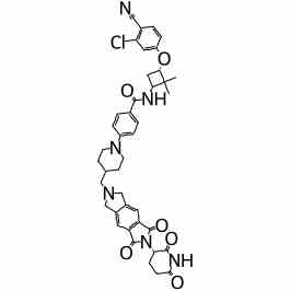 CC1(C)[C@@H](NC(=O)c2ccc(N3CCC(CN4Cc5cc6c(cc5C4)C(=O)N([C@H]4CCC(=O)NC4=O)C6=O)CC3)cc2)C[C@@H]1Oc1ccc(C#N)c(Cl)c1